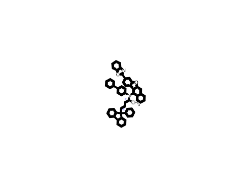 C/C(=C\C=C\C1(c2ccccc2)c2ccccc2-c2ccccc21)N(c1ccc(-c2ccccc2)cc1)c1c2ccccc2cc2oc3cc(-c4nc5ccccc5o4)ccc3c12